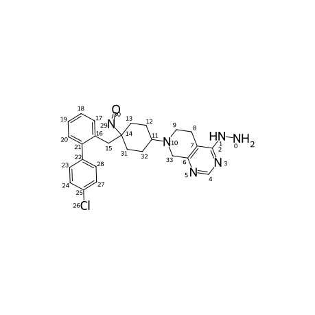 NNc1ncnc2c1CCN(C1CCC(Cc3ccccc3-c3ccc(Cl)cc3)(N=O)CC1)C2